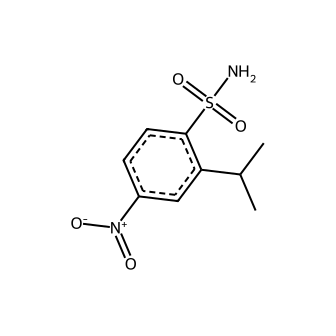 CC(C)c1cc([N+](=O)[O-])ccc1S(N)(=O)=O